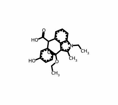 CCOC(=O)c1c(C)n(CC)c2cccc(C(C(=O)O)c3cccc(O)c3)c12